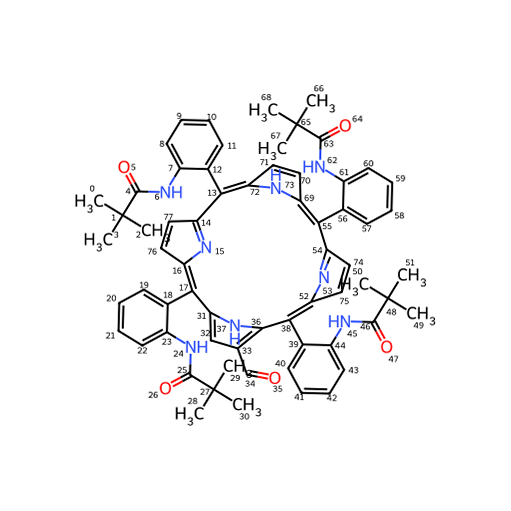 CC(C)(C)C(=O)Nc1ccccc1-c1c2nc(c(-c3ccccc3NC(=O)C(C)(C)C)c3cc(C=O)c([nH]3)c(-c3ccccc3NC(=O)C(C)(C)C)c3nc(c(-c4ccccc4NC(=O)C(C)(C)C)c4ccc1[nH]4)C=C3)C=C2